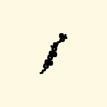 C=C(C)C(=O)OCCCCOc1ccc(C(=O)Oc2ccc(C(=O)Oc3ccc(CCCC)cc3)cc2)cc1C